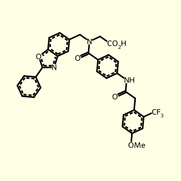 COc1ccc(CC(=O)Nc2ccc(C(=O)N(CC(=O)O)Cc3ccc4oc(-c5ccccc5)nc4c3)cc2)c(C(F)(F)F)c1